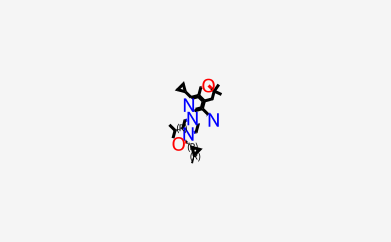 CC(C)[C@@H]1CN(c2nc(C3CC3)c3c(c2C#N)CC(C)(C)OC3)CCN1C(=O)[C@@H]1C[C@H]1C